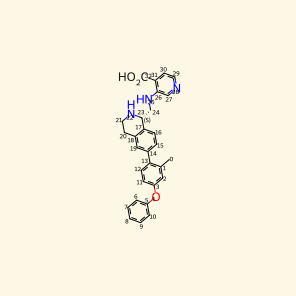 Cc1cc(Oc2ccccc2)ccc1-c1ccc2c(c1)CCN[C@@H]2CNc1cnccc1C(=O)O